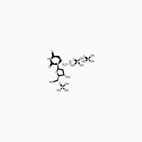 O.O.O=P(O)(O)O.O=P(O)(O)O.O=P(O)(O)O.O=c1ccn(C2C[C@H](O)[C@@H](CO)O2)c(=O)[nH]1